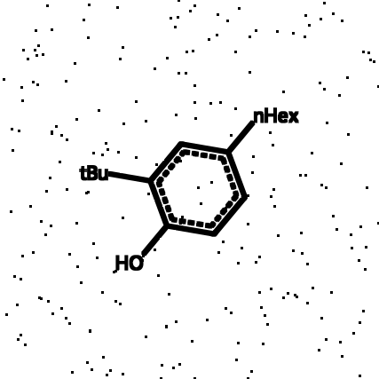 CCCCCCc1ccc(O)c(C(C)(C)C)c1